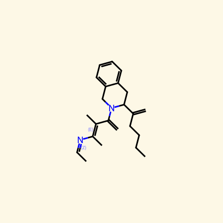 C=C(CCCC)C1Cc2ccccc2CN1C(=C)/C(C)=C(C)/N=C\C